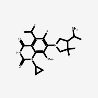 COc1c(N2CC(C(C)N)C(F)(F)C2)c(F)c(C(F)F)c2c(=O)[nH]c(=O)n(C3CC3)c12